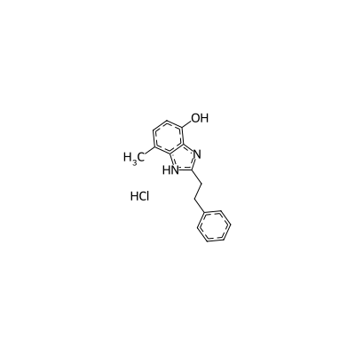 Cc1ccc(O)c2nc(CCc3ccccc3)[nH]c12.Cl